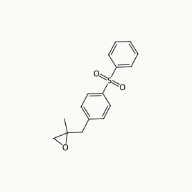 CC1(Cc2ccc(S(=O)(=O)c3ccccc3)cc2)CO1